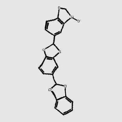 [O-][S+]1COc2ccc(C3Oc4ccc(C5Oc6ccccc6O5)cc4S3)cc21